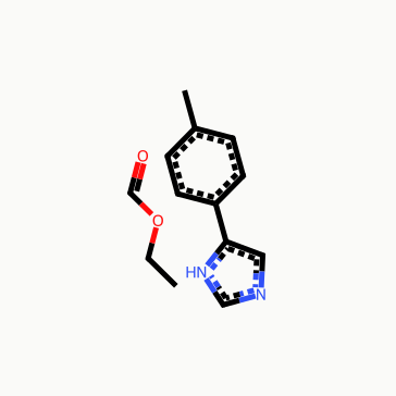 CCOC=O.Cc1ccc(-c2cnc[nH]2)cc1